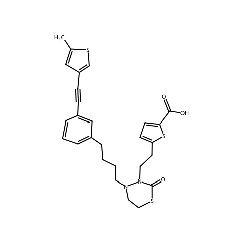 Cc1cc(C#Cc2cccc(CCCCN3CCSC(=O)N3CCc3ccc(C(=O)O)s3)c2)cs1